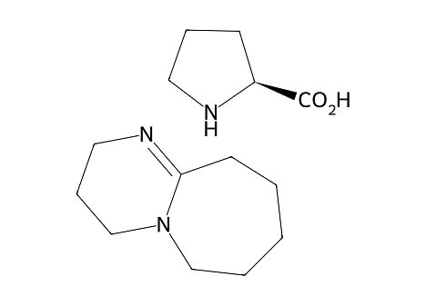 C1CCC2=NCCCN2CC1.O=C(O)[C@@H]1CCCN1